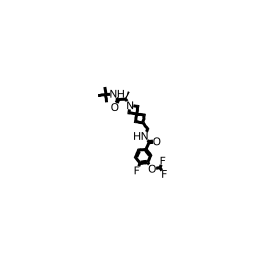 C[C@H](C(=O)NC(C)(C)C)N1CC2(CC(CNC(=O)c3ccc(F)c(OC(F)F)c3)C2)C1